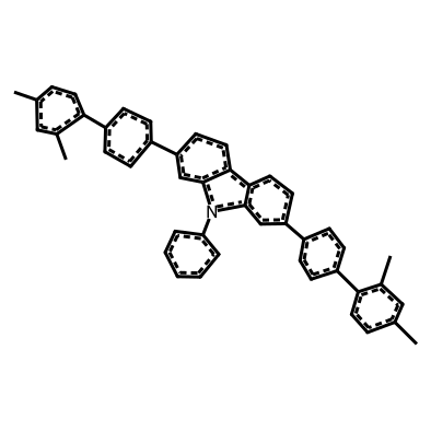 Cc1ccc(-c2ccc(-c3ccc4c5ccc(-c6ccc(-c7ccc(C)cc7C)cc6)cc5n(-c5ccccc5)c4c3)cc2)c(C)c1